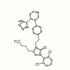 CCCCc1cn(-c2c(Cl)cccc2Cl)c(=O)n1CCc1ccc(-c2cnccc2-c2nnn[nH]2)cc1